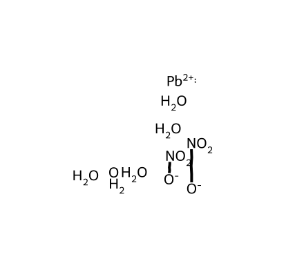 O.O.O.O.O.O=[N+]([O-])[O-].O=[N+]([O-])[O-].[Pb+2]